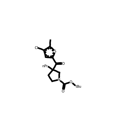 CCCC1(C(=O)c2cc(Cl)c(C)s2)CCN(C(=O)OC(C)(C)C)C1